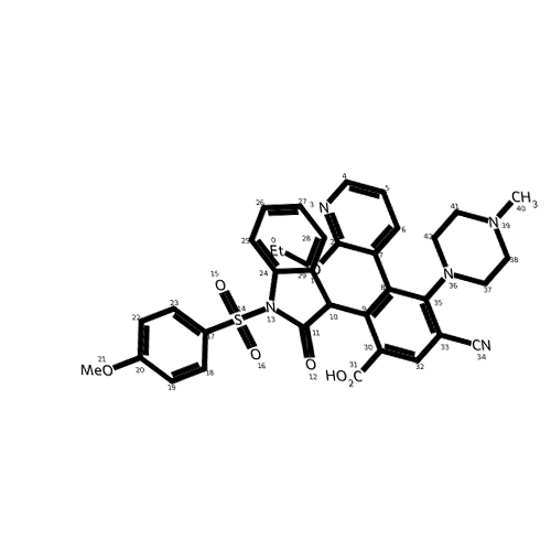 CCOc1ncccc1-c1c(C2C(=O)N(S(=O)(=O)c3ccc(OC)cc3)c3ccccc32)c(C(=O)O)cc(C#N)c1N1CCN(C)CC1